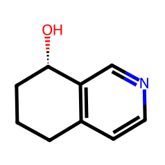 O[C@H]1CCCc2ccncc21